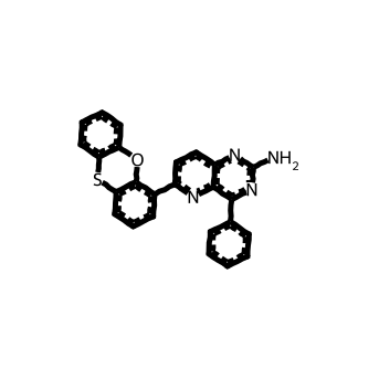 Nc1nc(-c2ccccc2)c2nc(-c3cccc4c3Oc3ccccc3S4)ccc2n1